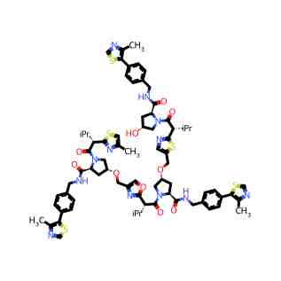 Cc1csc([C@H](C(=O)N2C[C@H](OCc3coc([C@H](C(=O)N4C[C@H](OCc5cnc([C@H](C(=O)N6C[C@H](O)C[C@H]6C(=O)NCc6ccc(-c7scnc7C)cc6)C(C)C)s5)C[C@H]4C(=O)NCc4ccc(-c5scnc5C)cc4)C(C)C)n3)C[C@H]2C(=O)NCc2ccc(-c3scnc3C)cc2)C(C)C)n1